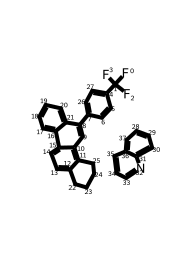 FC(F)(F)c1ccc(-c2cc3c4c(ccc3c3ccccc23)CCCC4)cc1.c1ccc2ncccc2c1